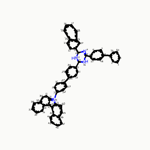 c1ccc(-c2ccc(C3=NC(c4ccc5ccccc5c4)NC(c4ccc(-c5ccc(-n6c7ccc8ccccc8c7c7c8ccccc8ccc76)cc5)cc4)N3)cc2)cc1